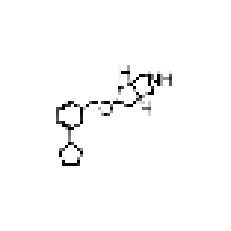 c1cc(COC2C[C@H]3CNC[C@H]3C2)cc(C2CCCC2)c1